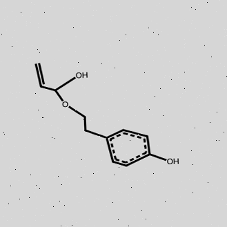 C=CC(O)OCCc1ccc(O)cc1